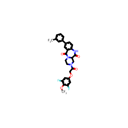 O=C1Nc2ccc(-c3cccc(C(F)(F)F)c3)cc2C(=O)N2CCN(C(=O)COc3cc(F)c(OC(F)(F)F)c(F)c3)CC12